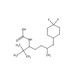 CC(CCC(NC(=O)O)C(C)(C)C)SC1CCC(F)(F)CC1